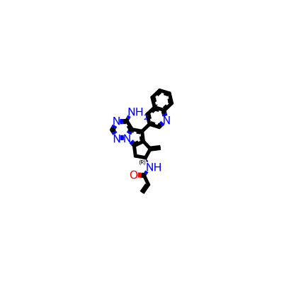 C=CC(=O)N[C@@H]1Cc2c(c(-c3cnc4ccccc4c3)c3c(N)ncnn23)C1=C